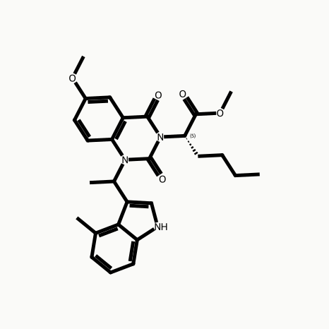 CCCC[C@@H](C(=O)OC)n1c(=O)c2cc(OC)ccc2n(C(C)c2c[nH]c3cccc(C)c23)c1=O